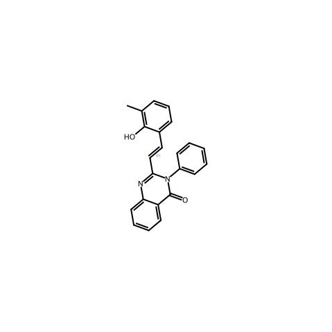 Cc1cccc(/C=C/c2nc3ccccc3c(=O)n2-c2ccccc2)c1O